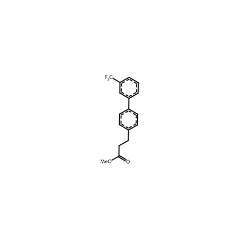 COC(=O)CCc1ccc(-c2cccc(C(F)(F)F)c2)cc1